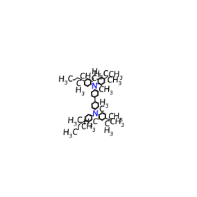 CCCC(C)(C)c1ccc(N(c2ccc(-c3ccc(N(c4ccc(C(C)(C)CCC)cc4)c4c(C)cc(C(C)(C)C)cc4C)cc3)cc2)c2c(C)cc(C(C)(C)C)cc2C)cc1